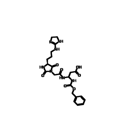 O=C(O)CC(NC(=O)CN1C(=O)N[C@@H](CCCNC2=NCCN2)C1=O)NC(=O)OCc1ccccc1